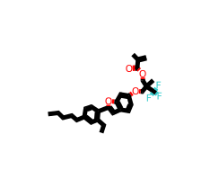 C=C(C)C(=O)OCC(C)(COc1ccc2cc(-c3ccc(CCCCC)cc3CC)oc2c1)C(F)(F)F